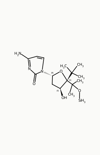 CC(C)(C)[C@]1(C(C)(C)O[SiH3])O[C@@H](n2ccc(N)nc2=O)C[C@@H]1O